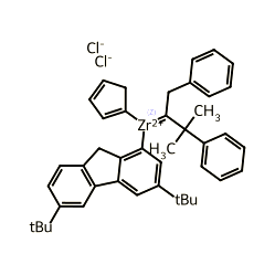 CC(C)(C)c1ccc2c(c1)-c1cc(C(C)(C)C)c[c](/[Zr+2]([C]3=CC=CC3)=[C](/Cc3ccccc3)C(C)(C)c3ccccc3)c1C2.[Cl-].[Cl-]